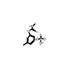 CNC(=O)Oc1cccc(C)c1.O=P(O)(O)Cl